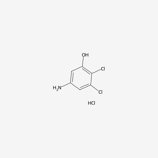 Cl.Nc1cc(O)c(Cl)c(Cl)c1